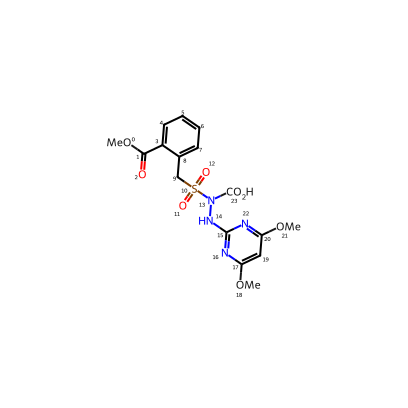 COC(=O)c1ccccc1CS(=O)(=O)N(Nc1nc(OC)cc(OC)n1)C(=O)O